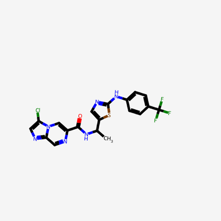 CC(NC(=O)c1cn2c(Cl)cnc2cn1)c1cnc(Nc2ccc(C(F)(F)F)cc2)s1